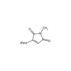 CCCC(C)C1=CC(=O)N(C)C1=O